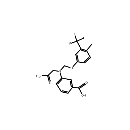 CC(=O)CN(COc1ccc(F)c(C(F)(F)F)c1)c1cccc(C(=O)O)c1